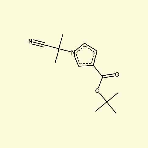 CC(C)(C)OC(=O)c1ccn(C(C)(C)C#N)c1